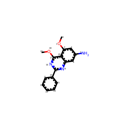 COc1cc(N)cc2nc(-c3ccccc3)nc(OC)c12